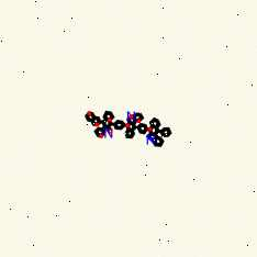 c1ccc(-c2c3ccccc3c(-c3ccc(-c4c5ccccc5c(-c5ccc(-c6c7ccccc7c(-c7ccc8ccccc8c7)c7c6cnc6ccccc67)cc5)c5cnc6ccccc6c45)cc3)c3cnc4ccccc4c23)cc1